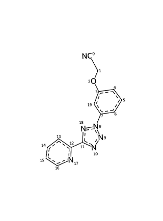 N#CCOc1cccc(-n2nnc(-c3ccccn3)n2)c1